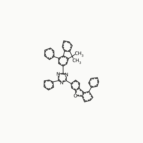 CC1(C)c2ccccc2-c2c(-c3ccccc3)cc(-c3nc(-c4ccccc4)nc(-c4ccc5c(c4)oc4cccc(-c6ccccc6)c45)n3)cc21